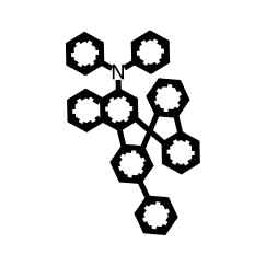 c1ccc(-c2ccc3c(c2)C2(c4ccccc4-c4ccccc42)c2cc(N(c4ccccc4)c4ccccc4)c4ccccc4c2-3)cc1